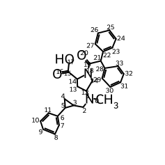 CN(CC1CC1c1ccccc1)C1CC(C(=O)O)N(C(=O)C(c2ccccc2)c2ccccc2)C1